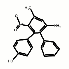 Cc1cc(N)c(-c2ccccc2)c(-c2ccc(O)cc2)c1[N+](=O)[O-]